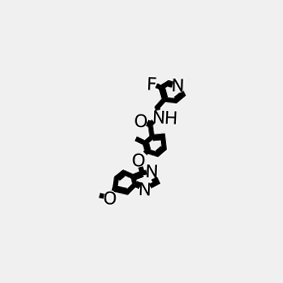 COc1ccc2c(Oc3cccc(C(=O)NCc4ccncc4F)c3C)ncnc2c1